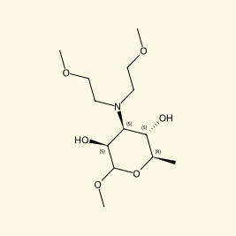 COCCN(CCOC)[C@H]1[C@H](O)[C@@H](C)OC(OC)[C@H]1O